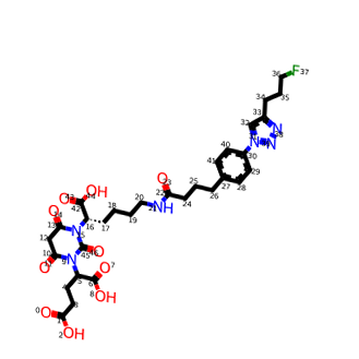 O=C(O)CCC(C(=O)O)N1C(=O)CC(=O)N([C@@H](CCCCNC(=O)CCCc2ccc(-n3cc(CCCF)nn3)cc2)C(=O)O)C1=O